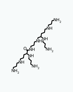 NCCCNCCCC(CNCCCNC(=O)C(CCCNCCCN)NCCCN)NCCCN